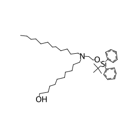 CCCCCCCCCCCCN(CCCCCCCCCCO)CCO[Si](c1ccccc1)(c1ccccc1)C(C)(C)C